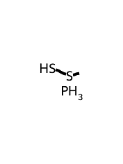 CSS.P